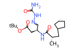 C[C@@H](CC1CCCC1)C(=O)N[C@H](/C=N/NC(N)=O)CC(=O)OC(C)(C)C